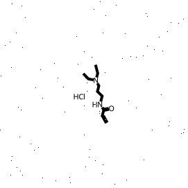 C=CC(=O)NCCCN(CC)CC.Cl